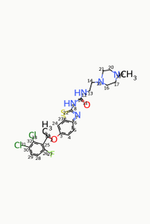 C[C@@H](Oc1ccc2nc(NC(=O)NCCN3CCN(C)CC3)sc2c1)c1c(F)ccc(Cl)c1Cl